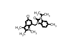 C=C(C)n1c(=O)n(Cc2cc(Cl)cc3c(C)c(C)n(C)c23)c2ccc(C)cc21